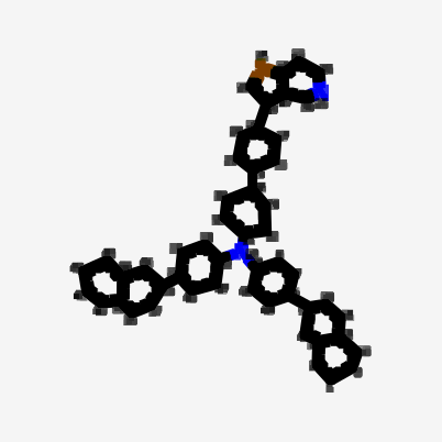 c1ccc2cc(-c3ccc(N(c4ccc(-c5ccc(-c6csc7ccncc67)cc5)cc4)c4ccc(-c5ccc6ccccc6c5)cc4)cc3)ccc2c1